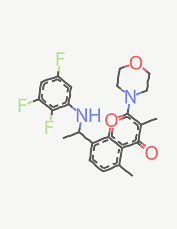 Cc1c(N2CCOCC2)oc2c(C(C)Nc3cc(F)cc(F)c3F)ccc(C)c2c1=O